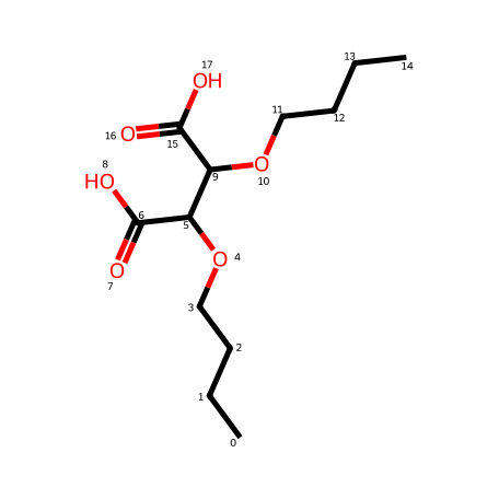 CCCCOC(C(=O)O)C(OCCCC)C(=O)O